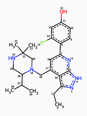 CCc1n[nH]c2nc(-c3ccc(O)cc3F)cc(CN3CC(C)(C)NCC3C(C)C)c12